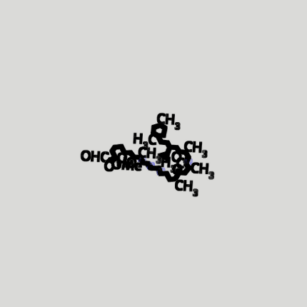 CO[C@]1(C(=O)C=O)CCCC(CC(O)/C(C)=C/C=C/C=C/CCC(C)C(=O)CC(C)/C(C)=C/C(C)C(=O)CC(CCC2(C)CCC(C)CC2)C2CC2)O1